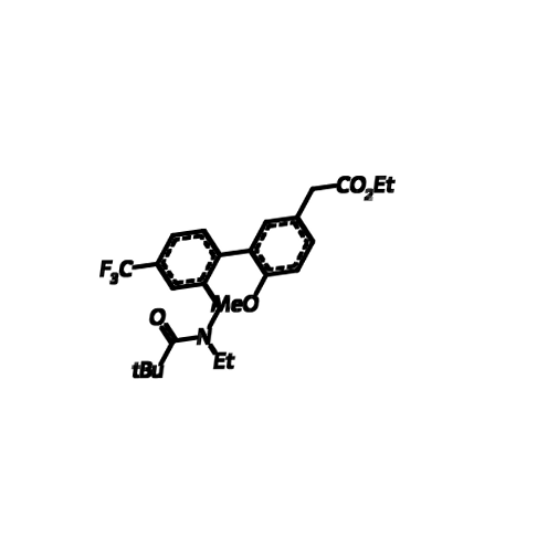 CCOC(=O)Cc1ccc(OC)c(-c2ccc(C(F)(F)F)cc2CN(CC)C(=O)C(C)(C)C)c1